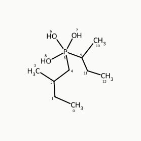 CCC(C)CP(O)(O)(O)C(C)CC